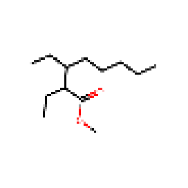 CCCCCC(CC)C(CC)C(=O)OC